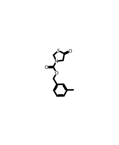 Cc1cccc(COC(=O)N2CSC(=O)C2)c1